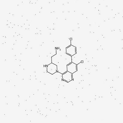 NCCC1CN(c2ncnc3cc(Cl)c(-c4ccc(Cl)cc4)cc23)CCN1